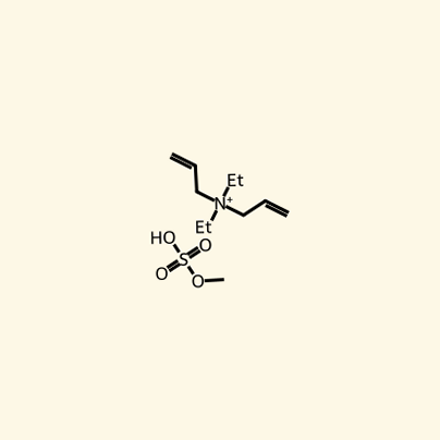 C=CC[N+](CC)(CC)CC=C.COS(=O)(=O)O